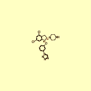 Clc1cc(Cl)c2c(c1)[C@@H](Oc1cccc(-n3cnnn3)c1)[C@@H](N1CCNCC1)C2